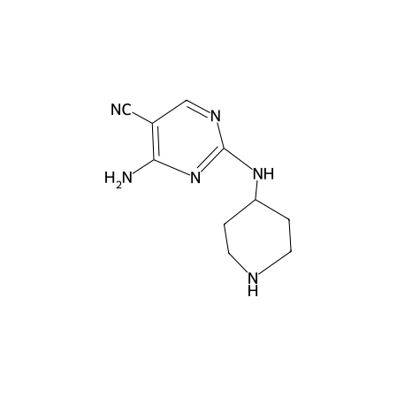 N#Cc1cnc(NC2CCNCC2)nc1N